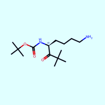 CC(C)(C)OC(=O)N[C@@H](CCCCN)C(=O)C(C)(C)C